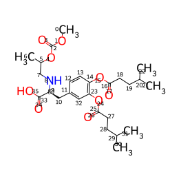 COC(=O)OC(C)CN[C@@H](Cc1ccc(OC(=O)CCC(C)C)c(OC(=O)CCC(C)C)c1)C(=O)O